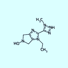 CCn1c(-c2n[nH]n2C)nc2c1CN(O)C2